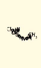 Cc1ccnc(-c2ccc(CN3CCN(c4ccc(OC[C@@H]5CO[C@@](Cn6cncn6)(c6ccc(Cl)cc6Cl)O5)cc4)CC3)cc2)n1